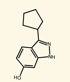 Oc1ccc2c(C3CCCC3)n[nH]c2c1